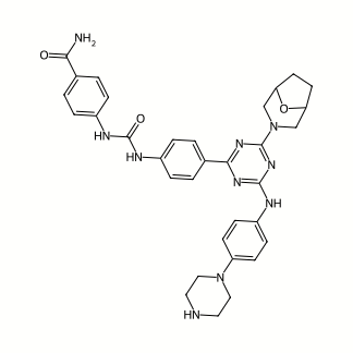 NC(=O)c1ccc(NC(=O)Nc2ccc(-c3nc(Nc4ccc(N5CCNCC5)cc4)nc(N4CC5CCC(C4)O5)n3)cc2)cc1